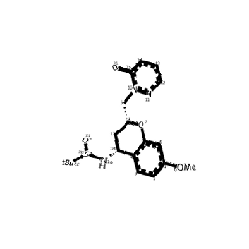 COc1ccc2c(c1)O[C@@H](Cn1ncccc1=O)C[C@H]2N[S+]([O-])C(C)(C)C